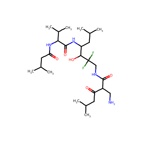 CC(C)CC(=O)NC(C(=O)NC(CC(C)C)C(O)C(F)(F)CNC(=O)C(CN)C(=O)CC(C)C)C(C)C